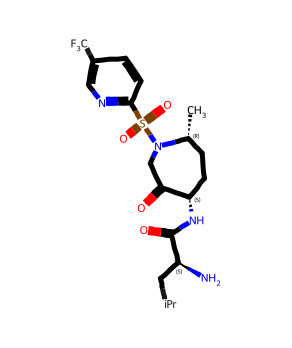 CC(C)C[C@H](N)C(=O)N[C@H]1CC[C@@H](C)N(S(=O)(=O)c2ccc(C(F)(F)F)cn2)CC1=O